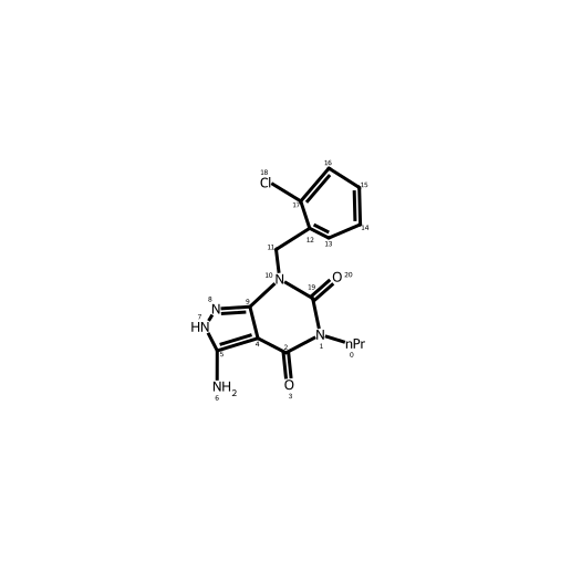 CCCn1c(=O)c2c(N)[nH]nc2n(Cc2ccccc2Cl)c1=O